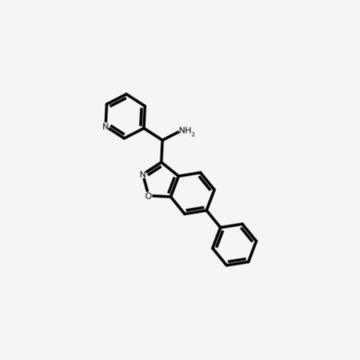 NC(c1cccnc1)c1noc2cc(-c3ccccc3)ccc12